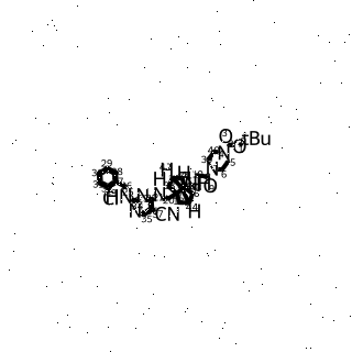 CC(C)(C)OC(=O)N1CCN(C(=O)CN[C@@H]2[C@@H]3C[C@H]4C[C@H]2CC4(CNc2nc(NCc4ccccc4Cl)ncc2C#N)C3)CC1